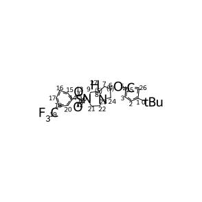 CC(C)(C)c1ccc(O[C@H]2C[C@H]3CN(S(=O)(=O)c4cccc(C(F)(F)F)c4)CCN3C2)cc1